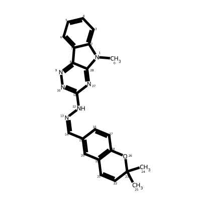 Cn1c2ccccc2c2nnc(N/N=C\c3ccc4c(c3)C=CC(C)(C)O4)nc21